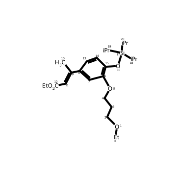 CCOCCCOc1cc(C(C)=CC(=O)OCC)ccc1O[Si](C(C)C)(C(C)C)C(C)C